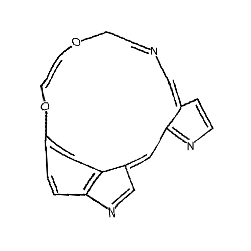 C1=CC2=CN=CCOC=COc3ccc4c(c3)C(=CC2=N1)C=N4